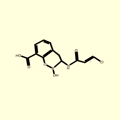 O=C(/C=C/Cl)NC1Cc2cccc(C(=O)O)c2OB1O